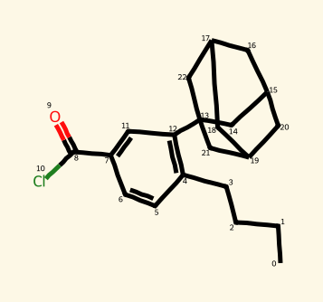 CCCCc1ccc(C(=O)Cl)cc1C12CC3CC(CC(C3)C1)C2